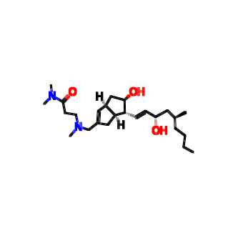 CCCC[C@H](C)C[C@H](O)/C=C/[C@@H]1[C@H]2CC(CN(C)CCC(=O)N(C)C)=C[C@H]2C[C@H]1O